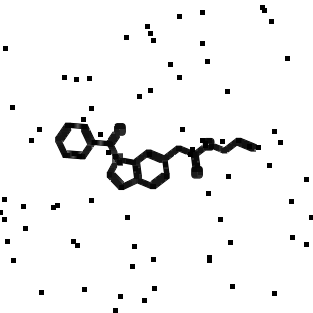 C=CCOC(=O)Cc1ccc2ccn(C(=O)c3ccccc3)c2c1